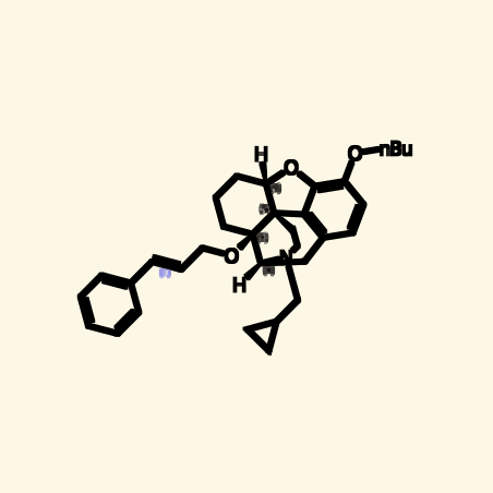 CCCCOc1ccc2c3c1O[C@H]1CCC[C@@]4(OC/C=C/c5ccccc5)[C@@H](C2)N(CC2CC2)CC[C@]314